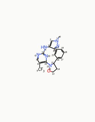 Cn1cc(Nc2ncc(C(F)(F)F)c(N3OCCC3c3ccccc3)n2)cn1